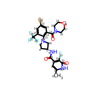 Cc1cc(C(=O)N[C@@H]2CCN(c3c(C(=O)N4CCOCC4)cc(Br)cc3C(F)(F)F)C2)c(F)c(=O)[nH]1